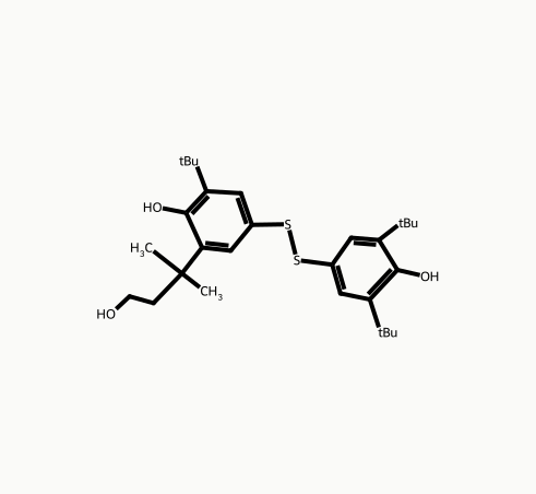 CC(C)(C)c1cc(SSc2cc(C(C)(C)C)c(O)c(C(C)(C)CCO)c2)cc(C(C)(C)C)c1O